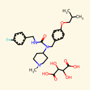 CC(C)COc1ccc(CN(C(=O)NCc2ccc(F)cc2)C2CCN(C)CC2)cc1.O=C(O)C(O)C(O)C(=O)O